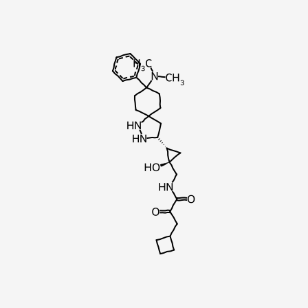 CN(C)C1(c2ccccc2)CCC2(CC1)CC([C@@H]1C[C@]1(O)CNC(=O)C(=O)CC1CCC1)NN2